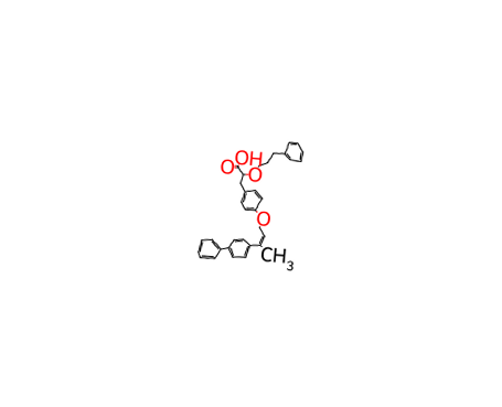 CC(=CCOc1ccc(CC(OCCCc2ccccc2)C(=O)O)cc1)c1ccc(-c2ccccc2)cc1